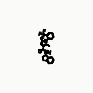 Cc1cc(C(=O)NC2CCc3ccccc32)c(C)n1-c1ccccc1C(F)(F)F